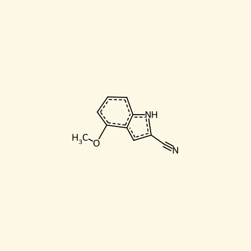 COc1cccc2[nH]c(C#N)cc12